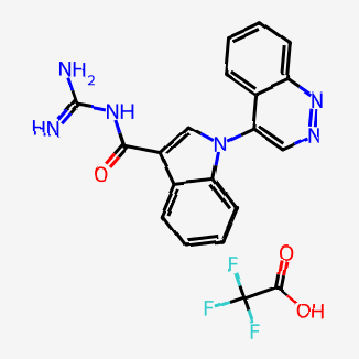 N=C(N)NC(=O)c1cn(-c2cnnc3ccccc23)c2ccccc12.O=C(O)C(F)(F)F